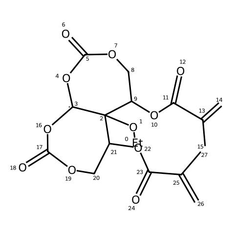 [CH2]COC12[C](OC(=O)OCC1OC(=O)C(=C)C)OC(=O)OCC2OC(=O)C(=C)C